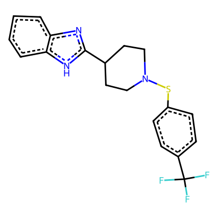 FC(F)(F)c1ccc(SN2CCC(c3nc4ccccc4[nH]3)CC2)cc1